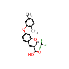 Cc1ccc(C)c(Oc2ccc3c(c2)O[C@H](C(F)(F)F)C(C(=O)O)=C3)c1